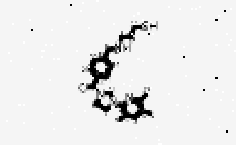 Cc1cc(C)c(N2CCN(C(=O)c3ccc(CNCCCS)cc3)C2)nc1C